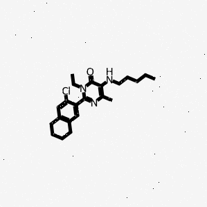 CCCCCNc1c(C)nc(-c2cc3c(cc2Cl)CCCC3)n(CC)c1=O